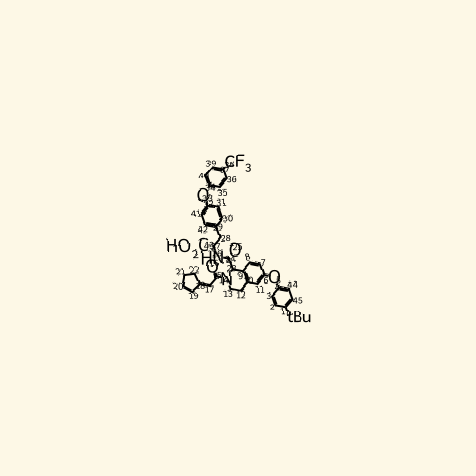 CC(C)(C)c1ccc(Oc2ccc3c(c2)CCN(C(=O)CC2CCCC2)C3C(=O)N[C@@H](Cc2ccc(Oc3ccc(C(F)(F)F)cc3)cc2)C(=O)O)cc1